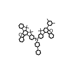 Cc1cc(C)cc(-c2cc3c(c4c2oc2ccccc24)-c2ccc(N(c4ccc(-c5ccccc5)cc4)c4ccc5c(c4)C(C)(C)c4c6c(c7oc8ccccc8c7c4-5)-c4ccccc4C6(C)C)cc2C3(C)C)c1